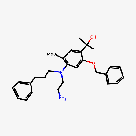 COc1cc(C(C)(C)O)c(OCc2ccccc2)cc1N(CCN)CCCc1ccccc1